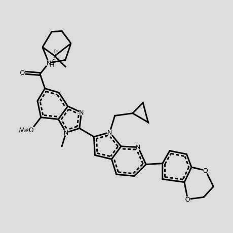 COc1cc(C(=O)N2CC3CCC2[C@@H]3C)cc2nc(-c3cc4ccc(-c5ccc6c(c5)OCCO6)nc4n3CC3CC3)n(C)c12